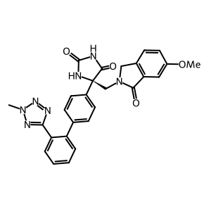 COc1ccc2c(c1)C(=O)N(C[C@@]1(c3ccc(-c4ccccc4-c4nnn(C)n4)cc3)NC(=O)NC1=O)C2